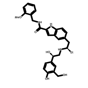 CC[C@H](Cc1ccc2[nH]c(C(=O)NCc3ccccc3OC)cc2c1)NC[C@H](O)c1ccc(O)c(CO)c1